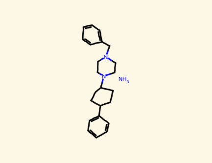 N.c1ccc(CN2CCN(C3CCC(c4ccccc4)CC3)CC2)cc1